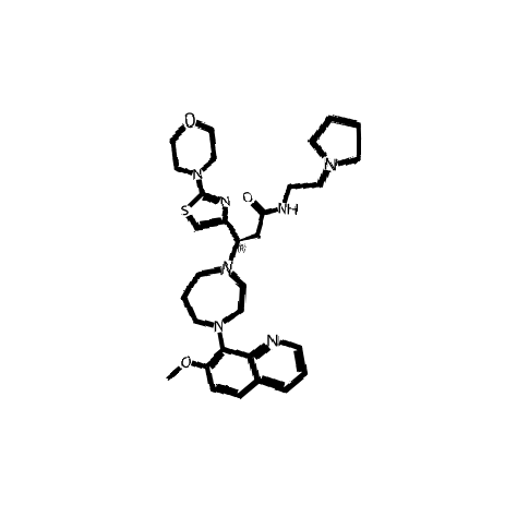 COc1ccc2cccnc2c1N1CCCN([C@H](CC(=O)NCCN2CCCC2)c2csc(N3CCOCC3)n2)CC1